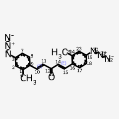 Cc1cc(N=[N+]=[N-])ccc1/C=C/C(=O)/C=C/c1ccc(N=[N+]=[N-])cc1C